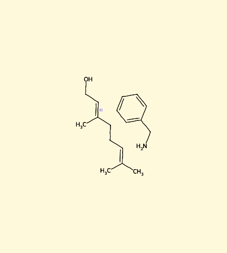 CC(C)=CCC/C(C)=C/CO.NCc1ccccc1